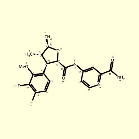 COc1c([C@H]2[C@H](C)[C@@H](C)O[C@H]2C(=O)Nc2ccnc(C(N)=O)c2)ccc(F)c1F